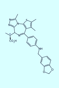 Cc1sc2c(c1C)C(c1ccc(NCc3ccc4c(c3)OCO4)cc1)=NC([C@H](C)C(=O)O)c1nnc(C)n1-2